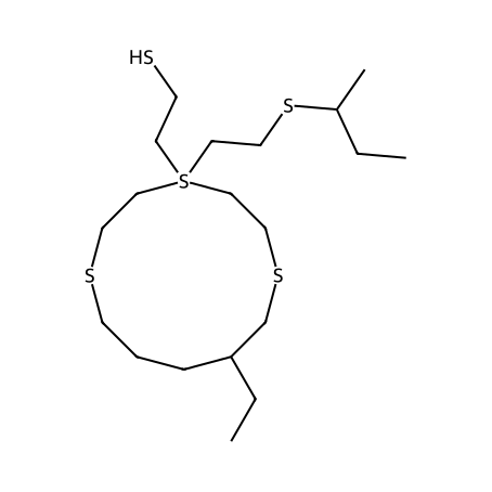 CCC1CCCSCCS(CCS)(CCSC(C)CC)CCSC1